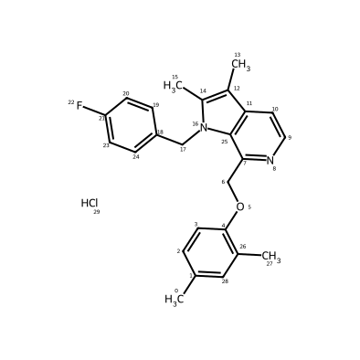 Cc1ccc(OCc2nccc3c(C)c(C)n(Cc4ccc(F)cc4)c23)c(C)c1.Cl